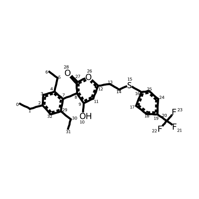 CCc1cc(CC)c(-c2c(O)cc(CCSc3ccc(C(F)(F)F)cc3)oc2=O)c(CC)c1